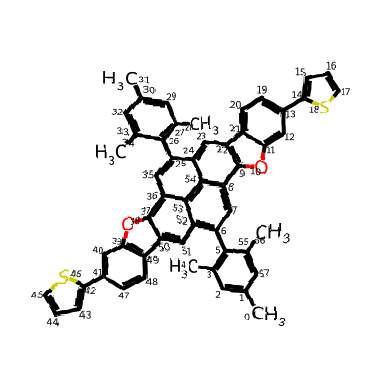 Cc1cc(C)c(-c2cc3c4oc5cc(-c6cccs6)ccc5c4cc4c(-c5c(C)cc(C)cc5C)cc5c6oc7cc(-c8cccs8)ccc7c6cc2c5c43)c(C)c1